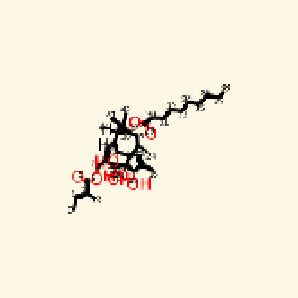 C/C=C(\C)C(=O)OCC1=C[C@@H]2C(O)[C@]3(C=C(C)[C@H](O)[C@@]3(O)[C@@H]1O)[C@H](C)C[C@]1(OC(=O)CCCCCCCCC)[C@H]2C1(C)C